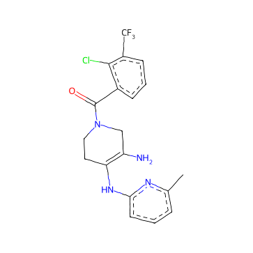 Cc1cccc(NC2=C(N)CN(C(=O)c3cccc(C(F)(F)F)c3Cl)CC2)n1